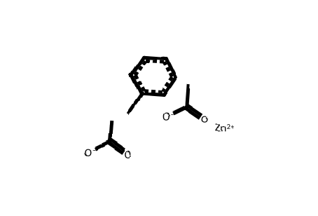 CC(=O)[O-].CC(=O)[O-].Cc1ccccc1.[Zn+2]